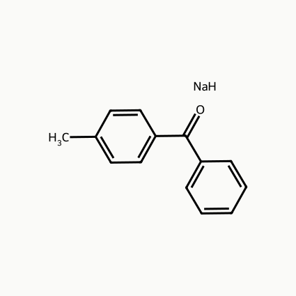 Cc1ccc(C(=O)c2ccccc2)cc1.[NaH]